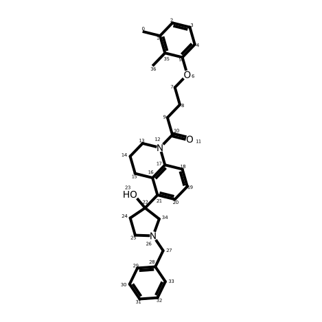 Cc1cccc(OCCCC(=O)N2CCCc3c2cccc3C2(O)CCN(Cc3ccccc3)C2)c1C